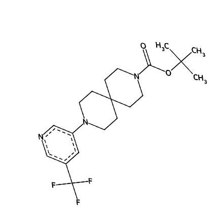 CC(C)(C)OC(=O)N1CCC2(CC1)CCN(c1cncc(C(F)(F)F)c1)CC2